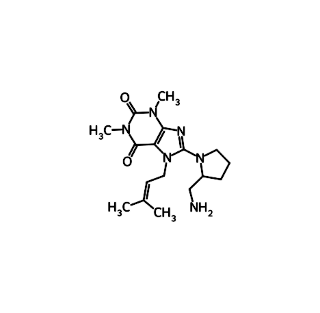 CC(C)=CCn1c(N2CCCC2CN)nc2c1c(=O)n(C)c(=O)n2C